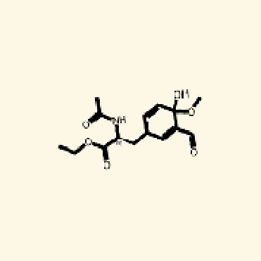 CCOC(=O)[C@H](CC1C=CC(O)(OC)C(C=O)=C1)NC(C)=O